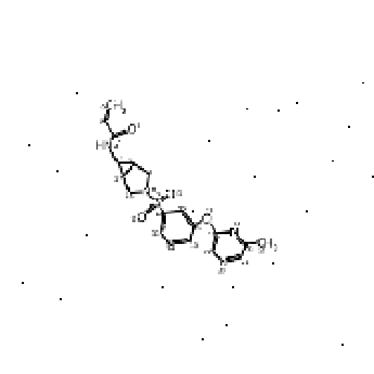 C=CC(=O)NC1C2CN(S(=O)(=O)c3cccc(Oc4cncc(C)n4)c3)CC21